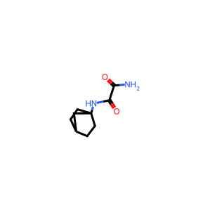 NC(=O)C(=O)NC12CCC(CC1)C2